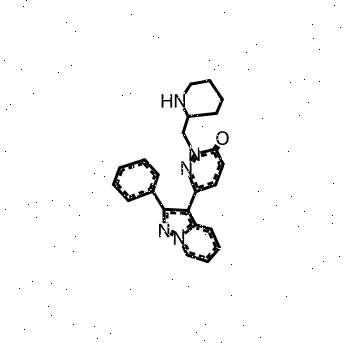 O=c1ccc(-c2c(-c3ccccc3)nn3ccccc23)nn1CC1CCCCN1